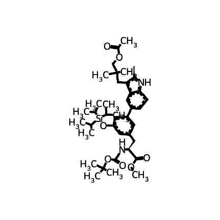 COC(=O)[C@H](Cc1cc(O[Si](C(C)C)(C(C)C)C(C)C)cc(-c2ccc3[nH]c(I)c(CC(C)(C)COC(C)=O)c3c2)c1)NC(=O)OC(C)(C)C